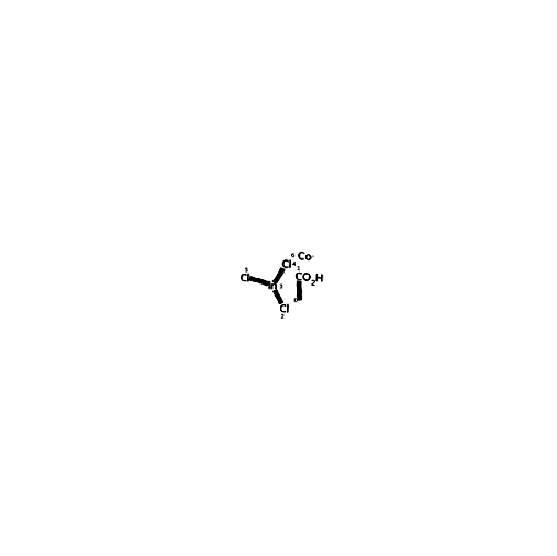 CC(=O)O.[Cl][In]([Cl])[Cl].[Co]